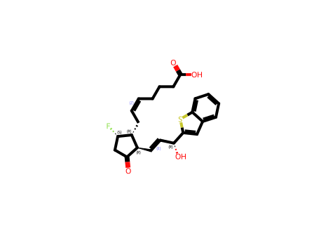 O=C(O)CCC/C=C\C[C@H]1[C@@H](F)CC(=O)[C@@H]1/C=C/[C@@H](O)c1cc2ccccc2s1